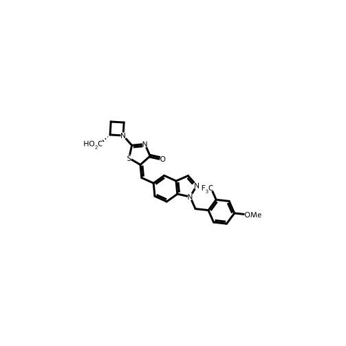 COc1ccc(Cn2ncc3cc(C=C4SC(N5CC[C@H]5C(=O)O)=NC4=O)ccc32)c(C(F)(F)F)c1